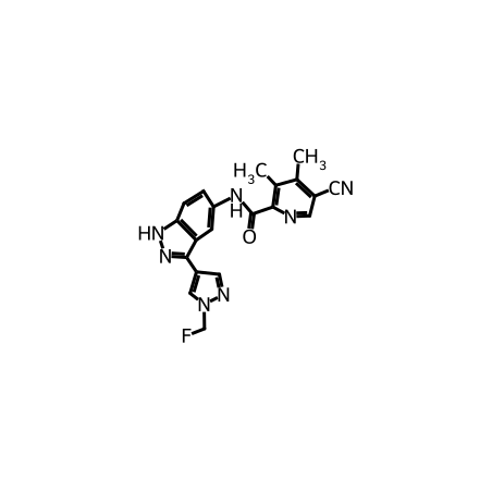 Cc1c(C#N)cnc(C(=O)Nc2ccc3[nH]nc(-c4cnn(CF)c4)c3c2)c1C